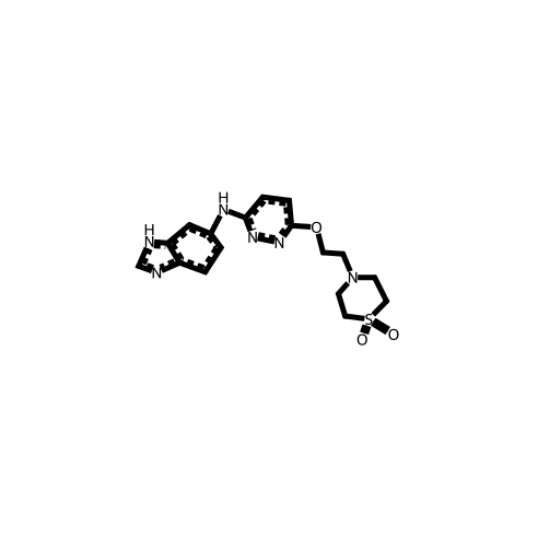 O=S1(=O)CCN(CCOc2ccc(Nc3ccc4nc[nH]c4c3)nn2)CC1